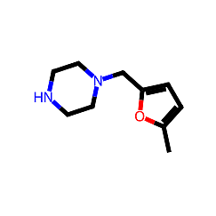 Cc1ccc(CN2CCNCC2)o1